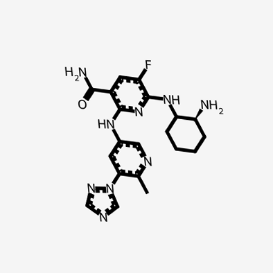 Cc1ncc(Nc2nc(NC3CCCC[C@@H]3N)c(F)cc2C(N)=O)cc1-n1cncn1